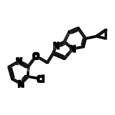 Clc1nccnc1OCc1cn2cc(C3CC3)ccc2n1